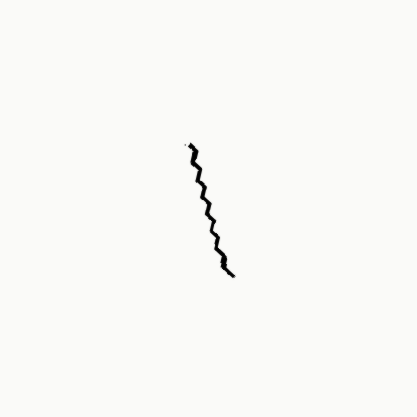 [CH2]C=CCCCCCCCCCCC=CC